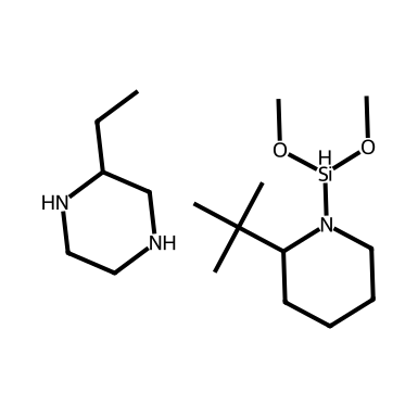 CCC1CNCCN1.CO[SiH](OC)N1CCCCC1C(C)(C)C